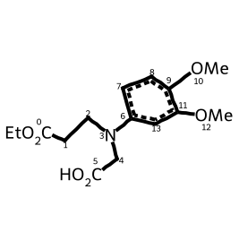 CCOC(=O)CCN(CC(=O)O)c1ccc(OC)c(OC)c1